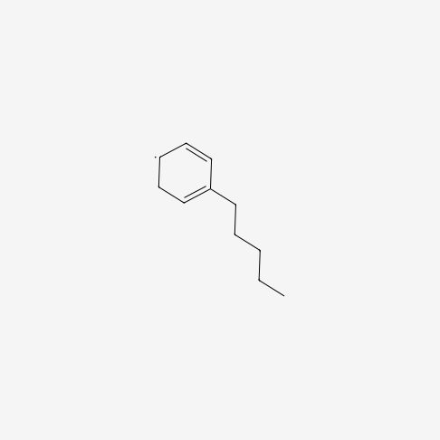 CCCCCC1=CC[CH]C=C1